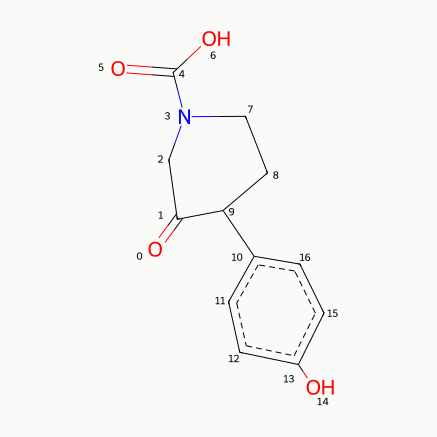 O=C1CN(C(=O)O)CCC1c1ccc(O)cc1